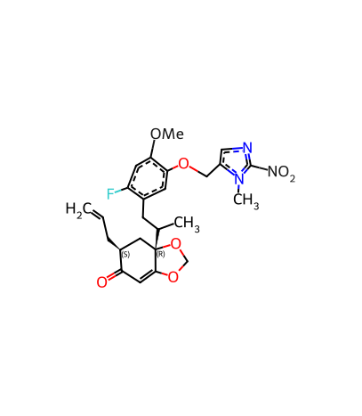 C=CC[C@H]1C[C@]2(C(C)Cc3cc(OCc4cnc([N+](=O)[O-])n4C)c(OC)cc3F)OCOC2=CC1=O